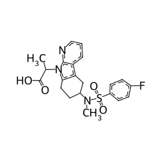 CC(C(=O)O)n1c2c(c3cccnc31)CC(N(C)S(=O)(=O)c1ccc(F)cc1)CC2